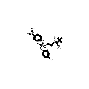 CC(C)(C)C(O)=[SH]CCOP(=O)(Oc1ccc(Br)cc1)Oc1ccc([N+](=O)[O-])cc1